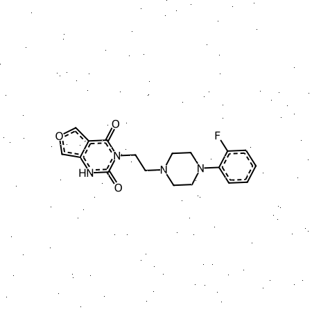 O=c1[nH]c2cocc2c(=O)n1CCN1CCN(c2ccccc2F)CC1